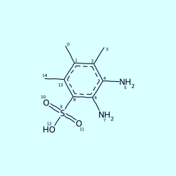 Cc1c(C)c(N)c(N)c(S(=O)(=O)O)c1C